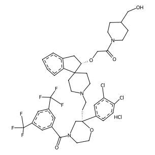 Cl.O=C(CO[C@H]1Cc2ccccc2C12CCN(CC[C@@]1(c3ccc(Cl)c(Cl)c3)CN(C(=O)c3cc(C(F)(F)F)cc(C(F)(F)F)c3)CCO1)CC2)N1CCC(CO)CC1